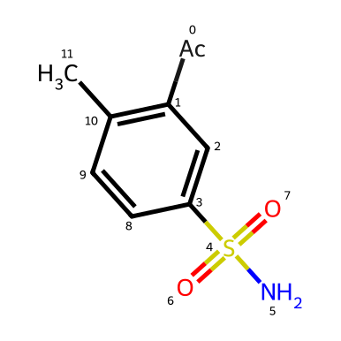 CC(=O)c1cc(S(N)(=O)=O)ccc1C